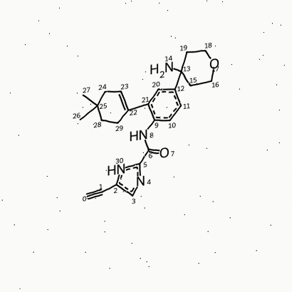 C#Cc1cnc(C(=O)Nc2ccc(C3(N)CCOCC3)cc2C2=CCC(C)(C)CC2)[nH]1